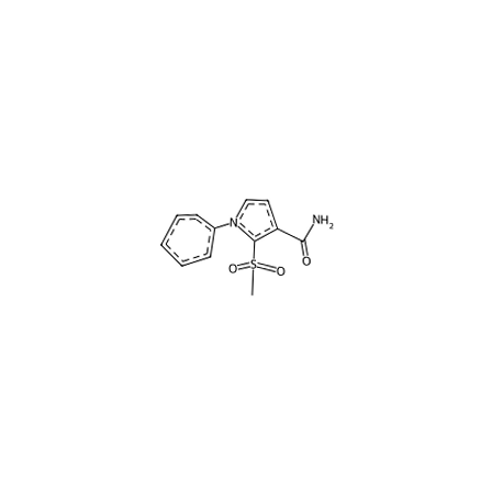 CS(=O)(=O)c1c(C(N)=O)ccn1-c1ccccc1